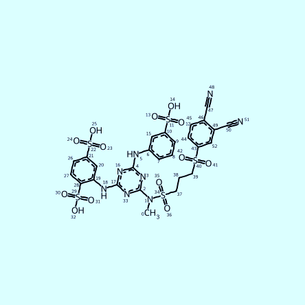 CN(c1nc(Nc2cccc(S(=O)(=O)O)c2)nc(Nc2cc(S(=O)(=O)O)ccc2S(=O)(=O)O)n1)S(=O)(=O)CCCS(=O)(=O)c1ccc(C#N)c(C#N)c1